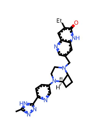 CCc1cc2ncc(CN3CCN(c4ccc(-c5nnc(C)[nH]5)nc4)[C@@H]4CCC43)cc2[nH]c1=O